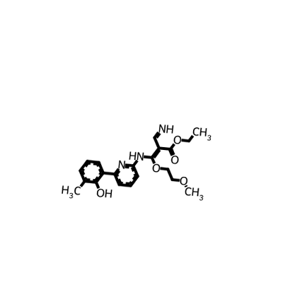 CCOC(=O)/C(C=N)=C(/Nc1cccc(-c2cccc(C)c2O)n1)OCCOC